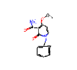 COc1ccn(-c2ccccc2)c(=O)c1C(N)=O